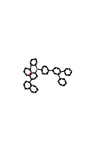 c1ccc(-c2ccc(-c3ccc(N(c4ccc(-c5cccc6ccccc56)cc4)c4ccccc4-c4ccccc4)cc3)cc2-c2ccccc2)cc1